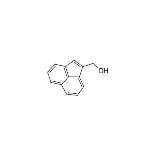 OCC1=Cc2cccc3cccc1c23